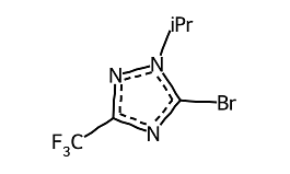 CC(C)n1nc(C(F)(F)F)nc1Br